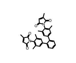 CC1=CC(=O)N(c2c(C)cc(-c3ccccc3-c3cc(C)c(N4C(=O)C=C(C)C4=O)c(C)c3)cc2C)C1=O